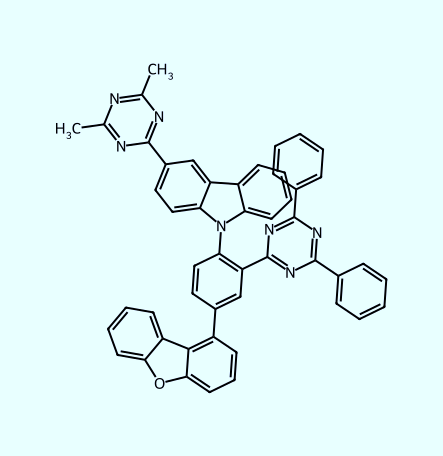 Cc1nc(C)nc(-c2ccc3c(c2)c2ccccc2n3-c2ccc(-c3cccc4oc5ccccc5c34)cc2-c2nc(-c3ccccc3)nc(-c3ccccc3)n2)n1